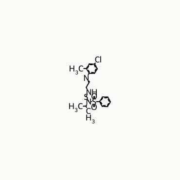 Cc1cc(Cl)ccc1N=CCNSN(C(C)C)S(=O)(=O)c1ccccc1